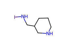 INCC1CCCNC1